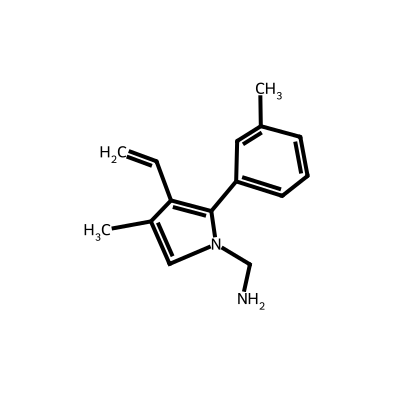 C=Cc1c(C)cn(CN)c1-c1cccc(C)c1